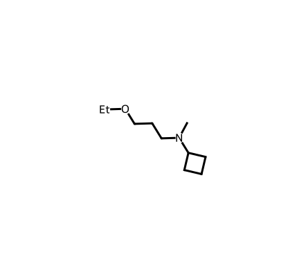 CCOCCCN(C)C1CCC1